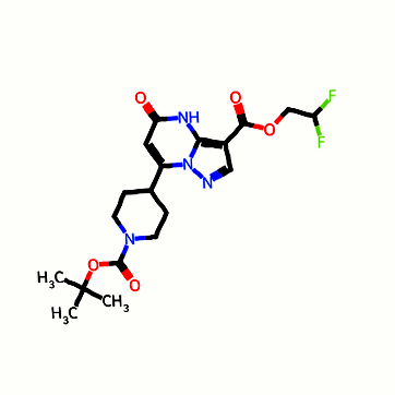 CC(C)(C)OC(=O)N1CCC(c2cc(=O)[nH]c3c(C(=O)OCC(F)F)cnn23)CC1